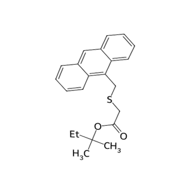 CCC(C)(C)OC(=O)CSCc1c2ccccc2cc2ccccc12